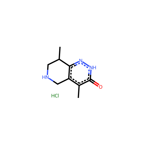 Cc1c2c(n[nH]c1=O)C(C)CNC2.Cl